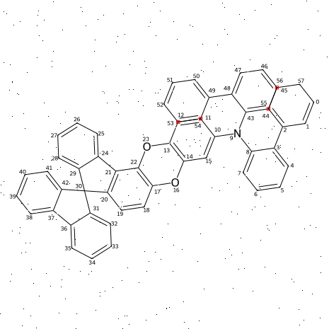 C1=CC(c2ccccc2N(c2ccc3c(c2)Oc2ccc4c(c2O3)-c2ccccc2C42c3ccccc3-c3ccccc32)c2ccccc2-c2ccccc2)=CCC1